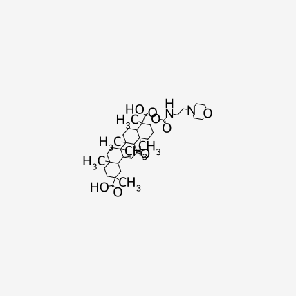 CC1(C(=O)O)CCC2(C)CCC3(C)C(=CC(=O)C4C5(C)CCC(OC(=O)NCCN6CCOCC6)C(C)(C(=O)O)C5CCC43C)C2C1